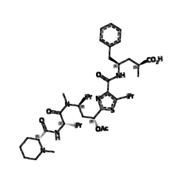 CC(=O)O[C@H](C[C@H](C(C)C)N(C)C(=O)[C@@H](NC(=O)[C@H]1CCCCN1C)C(C)C)c1nc(C(=O)N[C@@H](Cc2ccccc2)C[C@H](C)C(=O)O)c(C(C)C)s1